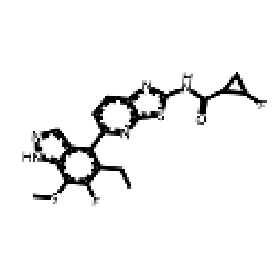 CCc1c(F)c(SC)c2[nH]ncc2c1-c1ccc2nc(NC(=O)C3CC3F)sc2n1